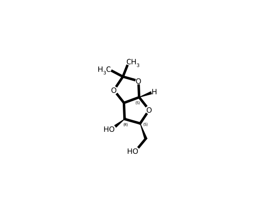 CC1(C)OC2[C@@H](O[C@@H](CO)[C@H]2O)O1